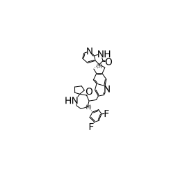 O=C1C(Cc2cnc3cc4c(cc3c2)C[C@@]2(C4)C(=O)Nc3ncccc32)[C@H](c2cc(F)cc(F)c2)CCNC12CCCC2